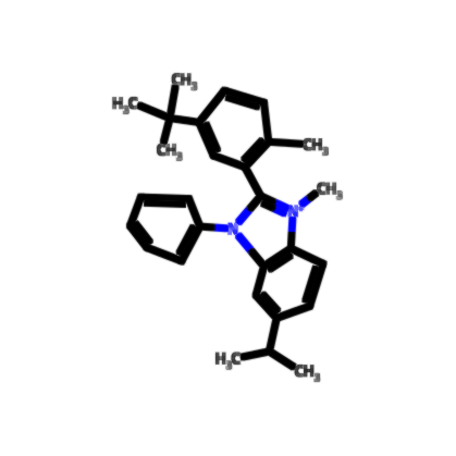 Cc1ccc(C(C)(C)C)cc1-c1n(-c2ccccc2)c2cc(C(C)C)ccc2[n+]1C